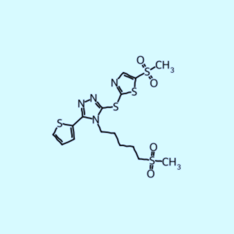 CS(=O)(=O)CCCCCn1c(Sc2ncc(S(C)(=O)=O)s2)nnc1-c1cccs1